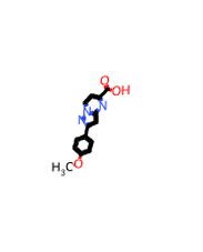 COc1ccc(-c2cc3nc(C(=O)O)ccn3n2)cc1